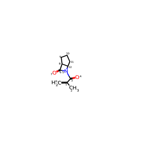 C=C(C)C(=O)N1C(=O)C2CCCC21